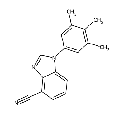 Cc1cc(-n2cnc3c(C#N)cccc32)cc(C)c1C